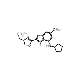 CCOC(=O)C[C@@H]1CSC(c2cc3cc(OC)cc(NC4CCCC4)c3[nH]2)=N1